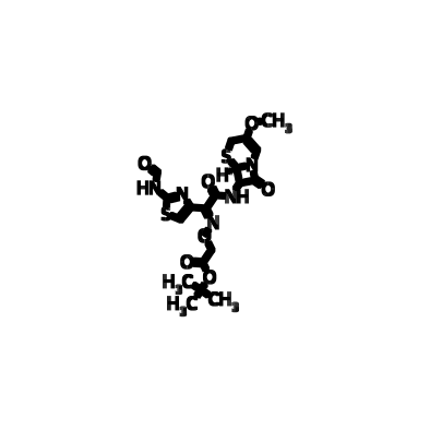 COC1=CN2C(=O)C(NC(=O)C(=NOCC(=O)OC(C)(C)C)c3csc(NC=O)n3)[C@@H]2SC1